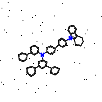 C1=Cc2c(c3ccccc3n2-c2ccc(-c3ccc(N(c4cccc(-c5ccccc5)c4)c4cc(-c5ccccc5)cc(-c5ccccc5)c4)cc3)cc2)CC1